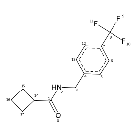 O=C(NCc1ccc(C(F)(F)F)cc1)C1CCC1